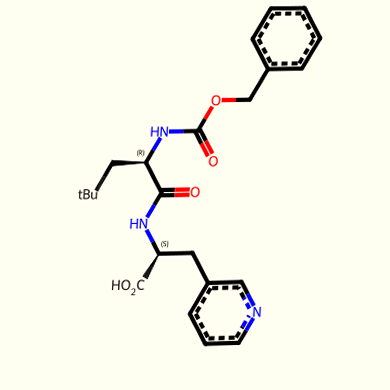 CC(C)(C)C[C@@H](NC(=O)OCc1ccccc1)C(=O)N[C@@H](Cc1cccnc1)C(=O)O